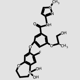 C[C@@H](CO)Oc1cc(Oc2cc3c(cc2F)S(O)(O)CCCO3)cc(C(=O)Nc2ccn(C)n2)c1